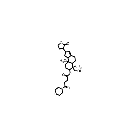 CC1(CO)C(OC(=O)CCC(=O)N2CCOCC2)CCC2(C)C3CC(C4=CCOC4=O)C=C3CCC12